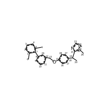 Cc1cccc(C)c1-c1cccc(COc2ccc(C(C)c3ncnn3C)cc2)c1